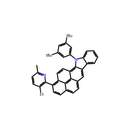 CCc1ccc(C)nc1-c1ccc2ccc3cc4c5ccccc5n(-c5cc(C(C)(C)C)cc(C(C)(C)C)c5)c4c4ccc1c2c34